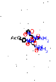 CC(=O)OCc1ccc(NC(=O)[C@H](CCCNC(N)=O)NC(=O)[C@H](CC(N)=O)NC(=O)CCN2C(=O)C=CC2=O)cc1